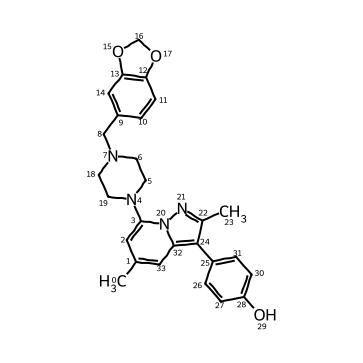 Cc1cc(N2CCN(Cc3ccc4c(c3)OCO4)CC2)n2nc(C)c(-c3ccc(O)cc3)c2c1